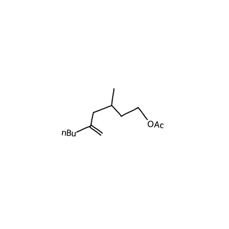 C=C(CCCC)CC(C)CCOC(C)=O